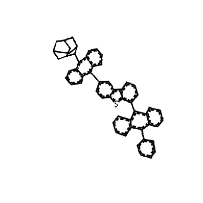 c1ccc(-c2c3ccccc3c(-c3cccc4c3sc3ccc(-c5c6ccccc6c(C6C7CC8CC(C7)CC6C8)c6ccccc56)cc34)c3ccccc23)cc1